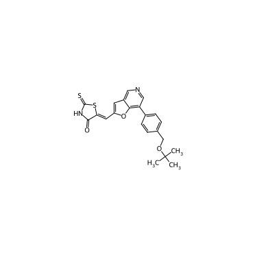 CC(C)(C)OCc1ccc(-c2cncc3cc(/C=C4\SC(=S)NC4=O)oc23)cc1